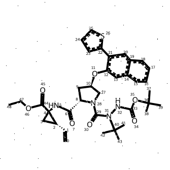 C=C[C@@H]1C[C@]1(NC(=O)[C@@H]1C[C@@H](Oc2cc3ccccc3cc2-c2cccs2)CN1C(=O)N(NC(=O)OC(C)(C)C)C(C)(C)C)C(=O)OCC